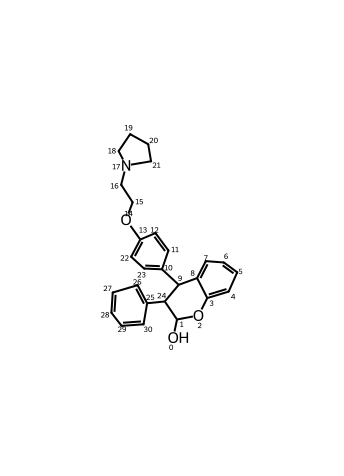 OC1Oc2ccccc2C(c2ccc(OCCN3CCCC3)cc2)C1c1ccccc1